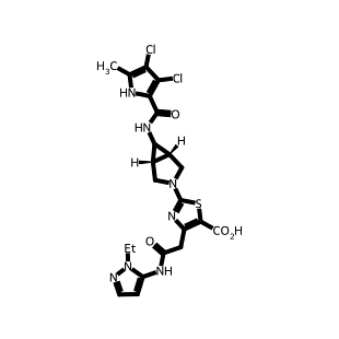 CCn1nccc1NC(=O)Cc1nc(N2C[C@@H]3C(NC(=O)c4[nH]c(C)c(Cl)c4Cl)[C@@H]3C2)sc1C(=O)O